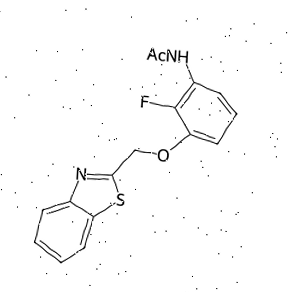 CC(=O)Nc1cccc(OCc2nc3ccccc3s2)c1F